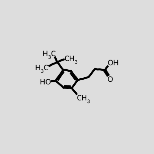 Cc1cc(O)c(C(C)(C)C)cc1CCC(=O)O